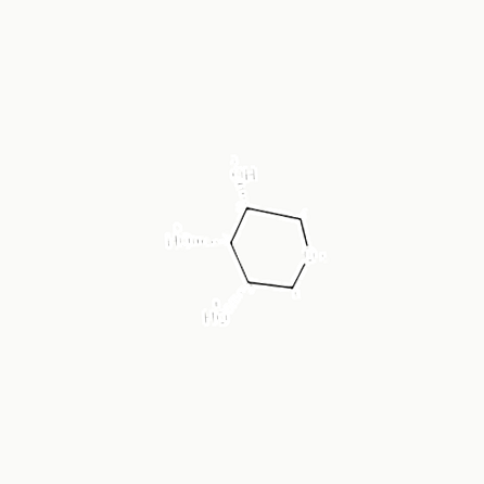 O[C@@H]1[C@H](O)COC[C@@H]1O